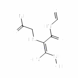 CN/C(N)=C(/NCC(N)=O)C(=O)NC=O